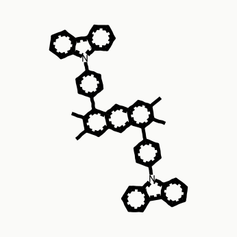 Cc1cc2cc3c(-c4ccc(-n5c6ccccc6c6ccccc65)cc4)c(C)c(C)cc3cc2c(-c2ccc(-n3c4ccccc4c4ccccc43)cc2)c1C